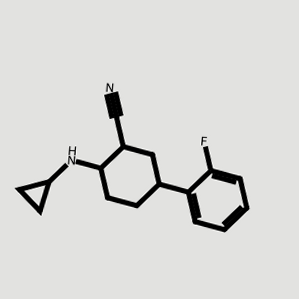 N#CC1CC(c2ccccc2F)CCC1NC1CC1